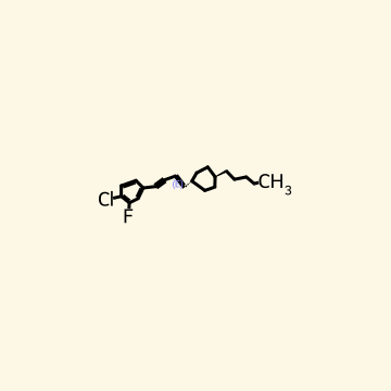 CCCCC[C@H]1CC[C@H](/C=C/C#Cc2ccc(Cl)c(F)c2)CC1